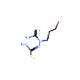 C=C(N)N(CCCI)/N=C(/C)N